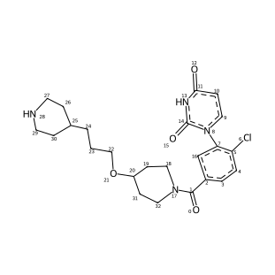 O=C(c1ccc(Cl)c(-n2ccc(=O)[nH]c2=O)c1)N1CCC(OCCCC2CCNCC2)CC1